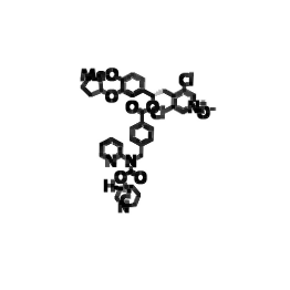 COc1ccc([C@H](Cc2c(Cl)c[n+]([O-])cc2Cl)OC(=O)c2ccc(CN(C(=O)O[C@H]3CN4CCC3CC4)c3ccccn3)cc2)cc1OC1CCCC1